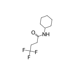 O=C(CCC(F)(F)F)NC1CCCCC1